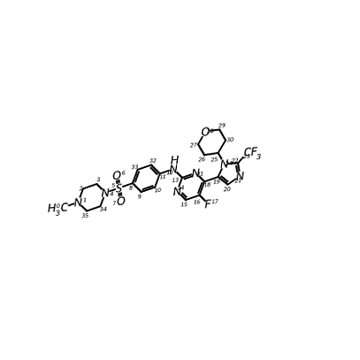 CN1CCN(S(=O)(=O)c2ccc(Nc3ncc(F)c(-c4cnc(C(F)(F)F)n4C4CCOCC4)n3)cc2)CC1